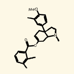 COc1ccc(C23CC=C(OC(=O)c4cccc(C)c4C)CC2N(C)CC3)cc1C